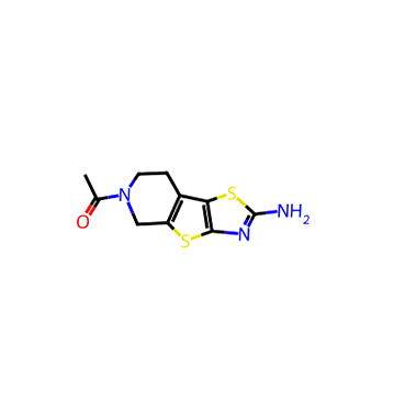 CC(=O)N1CCc2c(sc3nc(N)sc23)C1